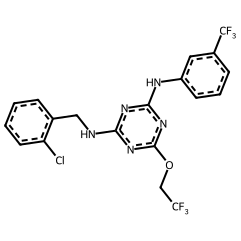 FC(F)(F)COc1nc(NCc2ccccc2Cl)nc(Nc2cccc(C(F)(F)F)c2)n1